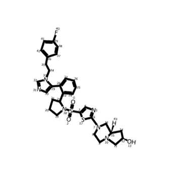 O=S(=O)(c1cnc(N2CCN3C[C@H](O)C[C@H]3C2)s1)N1CCCC1c1ccccc1-c1cncn1CCc1ccc(F)cc1